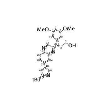 COc1cc(OC)cc(N(CCO)c2cnc3ccc(-c4cnn(C(C)(C)C)c4)cc3n2)c1